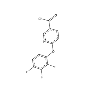 O=C(Cl)c1ccc(Oc2ccc(F)c(F)c2F)nc1